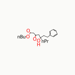 CCCCOC(=O)CC(=O)CC(O)(CCC)CCc1ccccc1